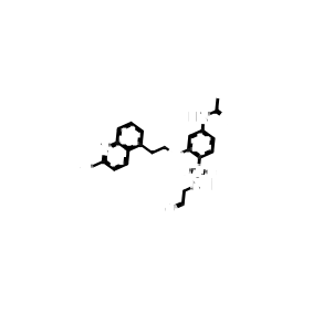 CC(=O)Nc1ccc(S(=O)(=O)NCC=O)c(OCCc2cccc3nc(Cl)ccc23)c1